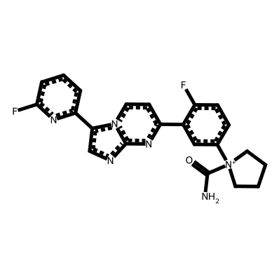 NC(=O)[N+]1(c2ccc(F)c(-c3ccn4c(-c5cccc(F)n5)cnc4n3)c2)CCCC1